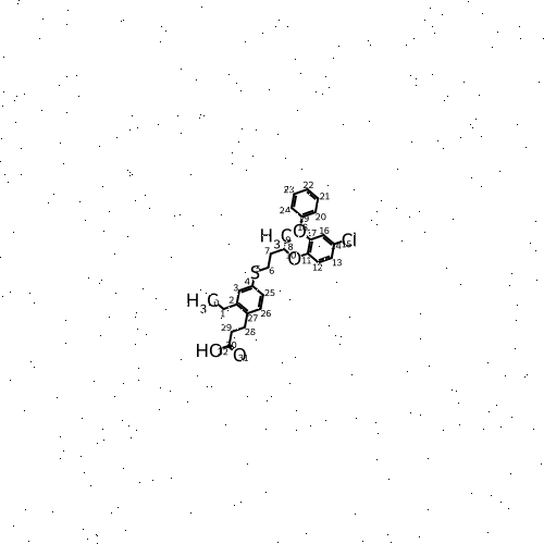 CCc1cc(SCC[C@H](C)Oc2ccc(Cl)cc2Oc2ccccc2)ccc1CCC(=O)O